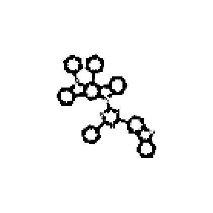 c1ccc(-c2nc(-c3ccc4oc5ccccc5c4c3)nc(-n3c4ccccc4c4c(-c5ccccc5)c5c(cc43)c3ccccc3n5-c3ccccc3)n2)cc1